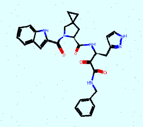 O=C(NCc1ccccc1)C(=O)[C@H](Cc1cc[nH]n1)NC(=O)[C@@H]1CC2(CC2)CN1C(=O)c1cc2ccccc2[nH]1